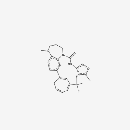 C=C(Nc1ccn(C)n1)N1CCCN(C)c2ccc(C3=CC(C(C)(F)F)=CC=CC3)nc21